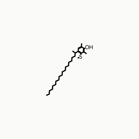 CCCCCCCCCCCCCCCCCCC(C)c1cc(C)c(O)c(C)c1SC